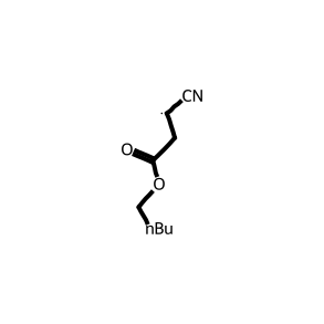 CCCCCOC(=O)C[CH]C#N